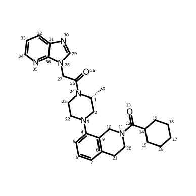 C[C@@H]1CN(c2cccc3c2CN(C(=O)C2CCCCC2)CC3)CCN1C(=O)Cn1cnc2cccnc21